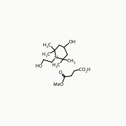 CC1(C)CC(O)CC(C)(C)N1CCO.COC(=O)CCC(=O)O